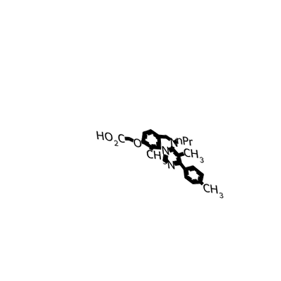 CCCN(Cc1ccc(OCC(=O)O)c(C)c1)c1ncnc(-c2ccc(C)cc2)c1C